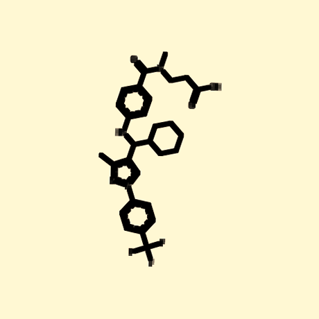 Cc1nn(-c2ccc(C(F)(F)F)cc2)cc1C(Nc1ccc(C(=O)N(C)CCC(=O)O)cc1)C1CCCCC1